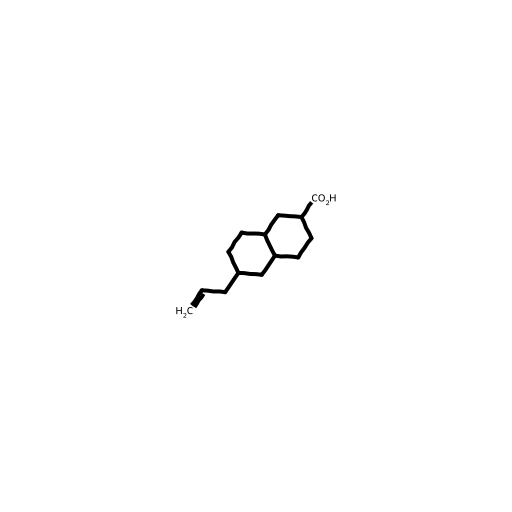 C=CCC1CCC2CC(C(=O)O)CCC2C1